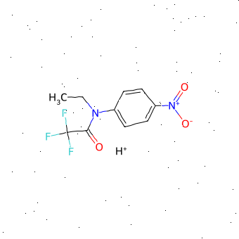 CCN(C(=O)C(F)(F)F)c1ccc([N+](=O)[O-])cc1.[H+]